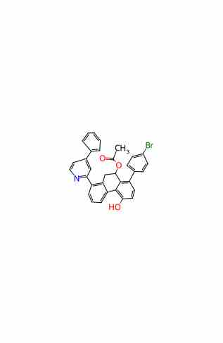 CC(=O)OC1Cc2c(-c3cc(-c4ccccc4)ccn3)cccc2-c2c(O)ccc(-c3ccc(Br)cc3)c21